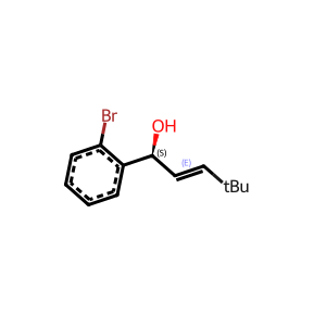 CC(C)(C)/C=C/[C@H](O)c1ccccc1Br